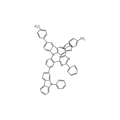 Cc1ccc(-c2ccc3c(c2)c2cc(-c4ccc(C)cc4)ccc2n3-c2ccc(-c3ccc4c5ccccc5n(-c5ccccc5)c4c3)cc2-c2nc(-c3ccccc3)nc(-c3ccccc3)n2)cc1